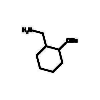 CC(C)COC1CCCCC1CN